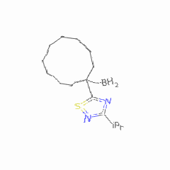 BC1(c2nc(C(C)C)ns2)CCCCCCCCC1